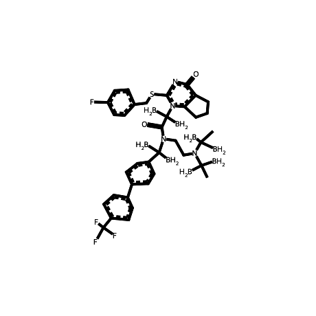 BC(B)(C)N(CCN(C(=O)C(B)(B)n1c(SCc2ccc(F)cc2)nc(=O)c2c1CCC2)C(B)(B)c1ccc(-c2ccc(C(F)(F)F)cc2)cc1)C(B)(B)C